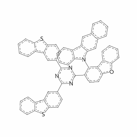 c1ccc2cc3c(cc2c1)c1ccccc1n3-c1c(-c2nc(-c3ccc4sc5ccccc5c4c3)nc(-c3ccc4sc5ccccc5c4c3)n2)ccc2oc3ccccc3c12